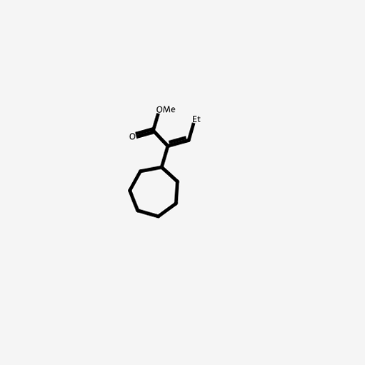 CCC=C(C(=O)OC)C1CCCCCC1